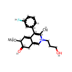 COC1C=C2C(=CN(CCCO)C(C#N)=C2c2cccc(F)c2)CC1=O